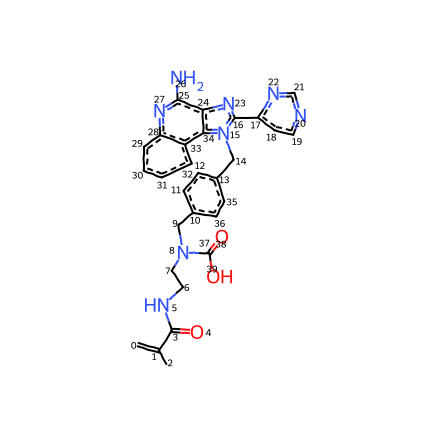 C=C(C)C(=O)NCCN(Cc1ccc(Cn2c(-c3ccncn3)nc3c(N)nc4ccccc4c32)cc1)C(=O)O